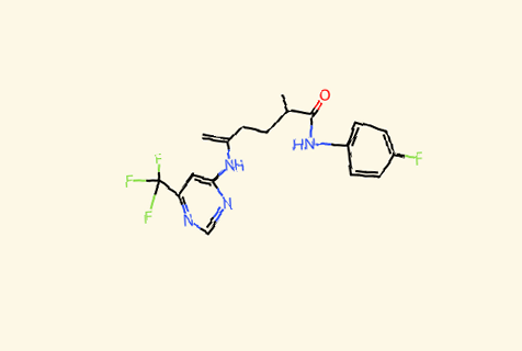 C=C(CCC(C)C(=O)Nc1ccc(F)cc1)Nc1cc(C(F)(F)F)ncn1